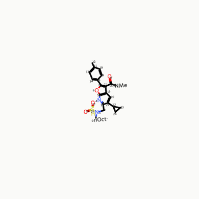 [CH2]CCCCCC[CH]N(Cc1nc2oc(-c3ccc(C)cc3)c(C(=O)NC)c2cc1C1CC1)[SH](=O)=O